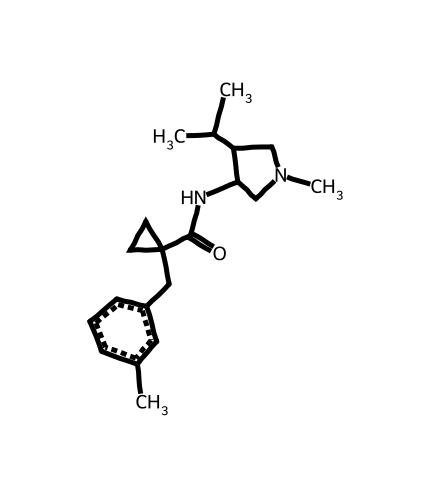 Cc1cccc(CC2(C(=O)NC3CN(C)CC3C(C)C)CC2)c1